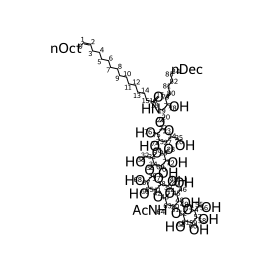 CCCCCCCC/C=C\CCCCCCCCCCCCCC(=O)N[C@@H](CO[C@@H]1OC(CO)[C@@H](O[C@@H]2OC(CO)[C@H](O[C@@H]3OC(CO)[C@H](O[C@@H]4OC(CO)[C@H](O)[C@H](O[C@@H]5OC(CO)[C@H](O)[C@H](O)C5O)C4NC(C)=O)[C@H](O)C3O)[C@H](O)C2O)[C@H](O)C1O)[C@H](O)/C=C/CCCCCCCCCCCCC